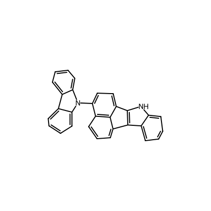 c1ccc2c3c([nH]c2c1)-c1ccc(-n2c4ccccc4c4ccccc42)c2cccc-3c12